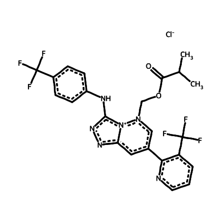 CC(C)C(=O)OCn1cc(-c2ncccc2C(F)(F)F)cc2nnc(Nc3ccc(C(F)(F)F)cc3)[n+]1-2.[Cl-]